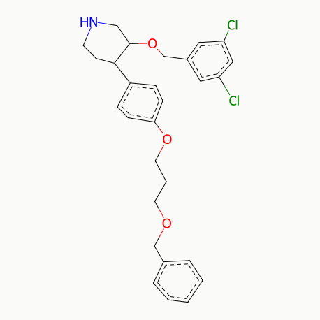 Clc1cc(Cl)cc(COC2CNCCC2c2ccc(OCCCOCc3ccccc3)cc2)c1